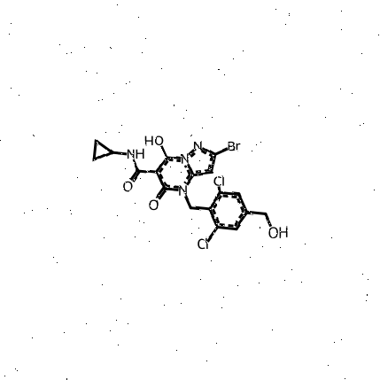 O=C(NC1CC1)c1c(O)n2nc(Br)cc2n(Cc2c(Cl)cc(CO)cc2Cl)c1=O